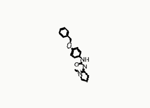 CN1CCCC1=NC(=O)Nc1ccc(OCc2ccccc2)cc1